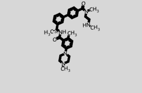 CNCCN(C)C(=O)c1ccc(-c2cccc([C@@H](C)NC(=O)c3cc(N4CCN(C)CC4)ccc3C)c2)cc1